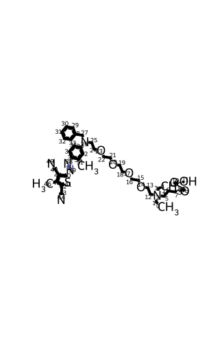 CC[N+](CC)(CCCS(=O)(=O)O)CCOCCOCCOCCOCCN(Cc1ccccc1)c1ccc(/N=N/c2sc(C#N)c(C)c2C#N)c(C)c1